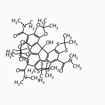 CN(C)C(=O)c1c2c(c(C(O)(c3c4c(c(C(=O)N(C)C)c5c3SC(C)(C)S5)SC(C)(C)S4)c3c4c(c(C(=O)N(C)C)c5c3SC(C)(C)S5)SC(C)(C)S4)c3c1OC(C)(C)O3)OC(C)(C)O2